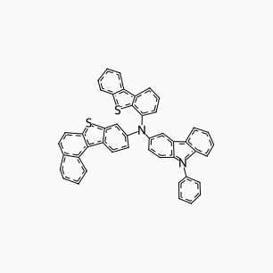 c1ccc(-n2c3ccccc3c3cc(N(c4ccc5c(c4)sc4ccc6ccccc6c45)c4cccc5c4sc4ccccc45)ccc32)cc1